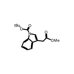 COC(=O)Cc1cn(C(=O)OC(C)(C)C)c2ccccc12